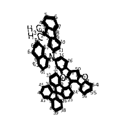 CC1(C)c2ccccc2-c2ccc(N(c3ccc4c(c3)oc3c(-c5cccc6c5-c5ccccc5C65c6ccccc6-c6ccccc65)c5c(cc34)oc3ccccc35)c3cccc4ccccc34)cc21